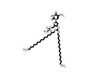 CCCCCCCCCCCCCCCCOC(OCCCCCCCCCCCCCCCC)O[C@@H]1C[C@H](n2cc(C)c(=O)[nH]c2=O)OC1COS(C)(=O)=O